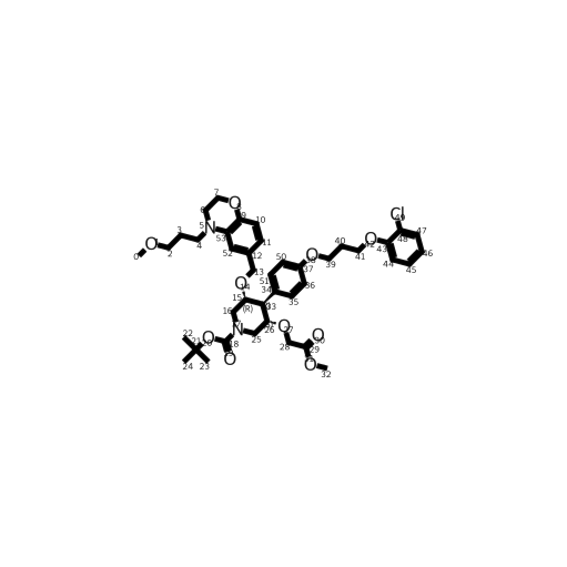 COCCCN1CCOc2ccc(CO[C@H]3CN(C(=O)OC(C)(C)C)C[C@@H](OCC(=O)OC)[C@@H]3c3ccc(OCCCOc4ccccc4Cl)cc3)cc21